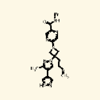 C=NCCC1(n2cc(-c3cn[nH]c3)c(C)n2)CN(c2cnc(C(=O)NC(C)C)cn2)C1